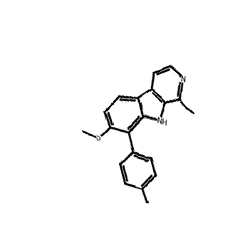 COc1ccc2c([nH]c3c(C)nccc32)c1-c1ccc(C)cc1